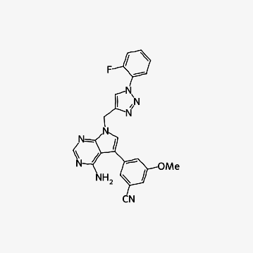 COc1cc(C#N)cc(-c2cn(Cc3cn(-c4ccccc4F)nn3)c3ncnc(N)c23)c1